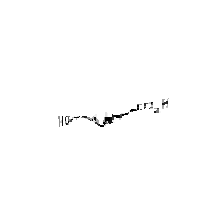 O=C(O)C=CCCCCCCCCCCCCCO